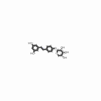 Oc1cc(O)cc(/C=C/c2ccc(O[C@H]3OC[C@@H](O)[C@H](O)[C@H]3O)cc2)c1